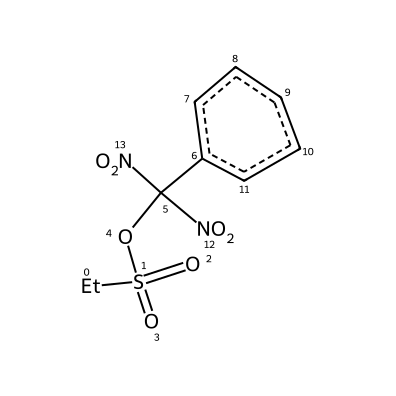 CCS(=O)(=O)OC(c1ccccc1)([N+](=O)[O-])[N+](=O)[O-]